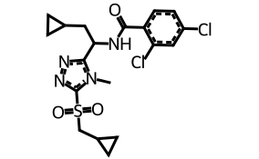 Cn1c(C(CC2CC2)NC(=O)c2ccc(Cl)cc2Cl)nnc1S(=O)(=O)CC1CC1